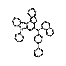 c1ccc(-c2ccc(N(c3cccc4ccccc34)c3cc4c(c5ccccc5n4-c4ccccc4)c4c3oc3ccccc34)cc2)cc1